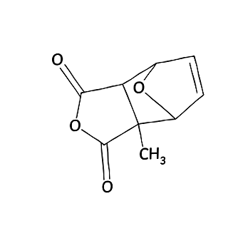 CC12C(=O)OC(=O)C1C1C=CC2O1